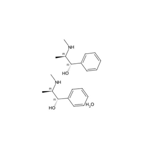 CN[C@H](C)[C@@H](O)c1ccccc1.CN[C@H](C)[C@@H](O)c1ccccc1.O